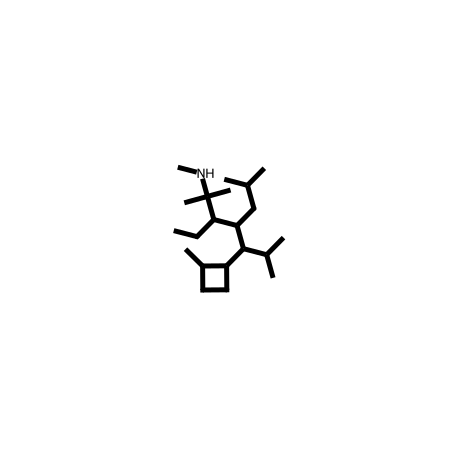 CCC(C(CC(C)C)C(C(C)C)C1CCC1C)C(C)(C)NC